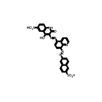 O=c1[nH]c2ccc(S(=O)(=O)O)cc2c(O)c1/N=N/c1ccc(/N=N/c2ccc3cc(S(=O)(=O)O)ccc3c2)c2ncccc12